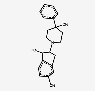 Oc1ccc2c(c1)CC(N1CCC(O)(c3ccccc3)CC1)C2O